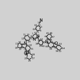 N#Cc1ccc(-c2cc(-c3cccc(-n4c5ccccc5c5c6oc7ccccc7c6ccc54)c3)nc(-c3cccc(-n4c5ccccc5c5c6oc7ccccc7c6ccc54)c3)n2)cc1